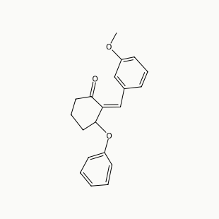 COc1cccc(C=C2C(=O)CCCC2Oc2ccccc2)c1